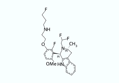 COc1ccc(OCCNCCCF)c(F)c1[C@@H]1c2[nH]c3ccccc3c2C[C@@H](C)N1CC(F)F